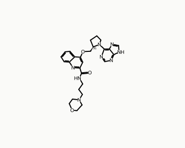 O=C(NCCCN1CCOCC1)c1cc(OC[C@H]2CCCN2c2ncnc3[nH]cnc23)c2ccccc2n1